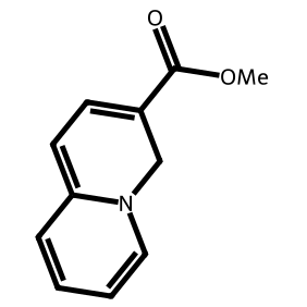 COC(=O)C1=CC=C2C=CC=CN2C1